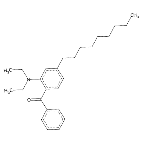 CCCCCCCCCc1ccc(C(=O)c2ccccc2)c(N(CC)CC)c1